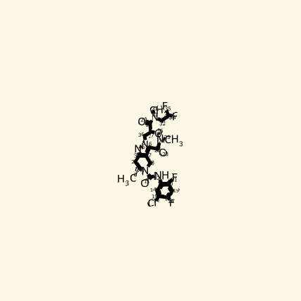 C[C@@H]1Cc2nn3c(c2CN1C(=O)Nc1cc(Cl)c(F)cc1F)C(=O)N(C)OC(C(=O)N(C)CC(F)F)C3